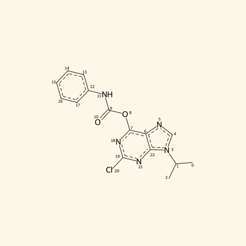 CC(C)n1cnc2c(OC(=O)Nc3ccccc3)nc(Cl)nc21